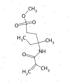 C=C(C)C(=O)NC(C)(CC)CCS(=O)(=O)OC